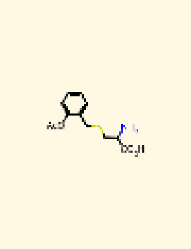 CC(=O)Oc1ccccc1CSCC(N)C(=O)O